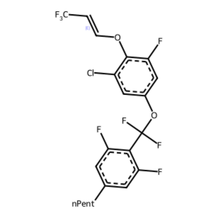 CCCCCc1cc(F)c(C(F)(F)Oc2cc(F)c(O/C=C/C(F)(F)F)c(Cl)c2)c(F)c1